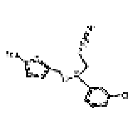 CC(C)(C)c1ccc(CO[C@@H](CN=[N+]=[N-])c2cccc(Cl)c2)s1